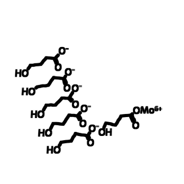 O=C([O-])CCCO.O=C([O-])CCCO.O=C([O-])CCCO.O=C([O-])CCCO.O=C([O-])CCCO.O=C([O-])CCCO.[Mo+6]